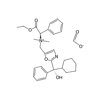 CCOC(=O)[C@@H](c1ccccc1)[N+](C)(C)Cc1cnc([C@](O)(c2ccccc2)C2CCCCC2)o1.O=C[O-]